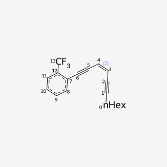 CCCCCCC#C/C=C\C#Cc1ccccc1C(F)(F)F